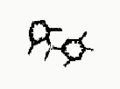 Cc1cc(C)c(N(I)c2c(C)cccc2C)cc1C